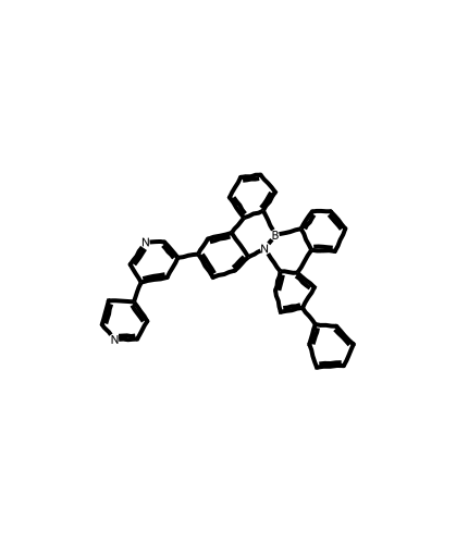 c1ccc(-c2ccc3c(c2)-c2ccccc2B2c4ccccc4-c4cc(-c5cncc(-c6ccncc6)c5)ccc4N23)cc1